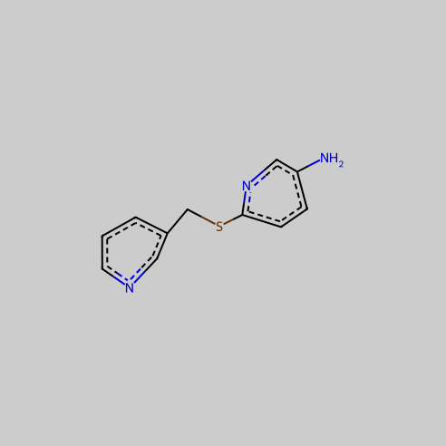 Nc1ccc(SCc2cccnc2)nc1